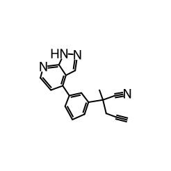 C#CCC(C)(C#N)c1cccc(-c2ccnc3[nH]ncc23)c1